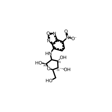 O=[N+]([O-])c1ccc(NC2[C@H](O)OC(CO)[C@@H](O)[C@H]2O)c2nonc12